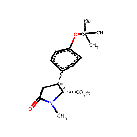 CCOC(=O)[C@H]1[C@@H](c2ccc(O[Si](C)(C)C(C)(C)C)cc2)CC(=O)N1C